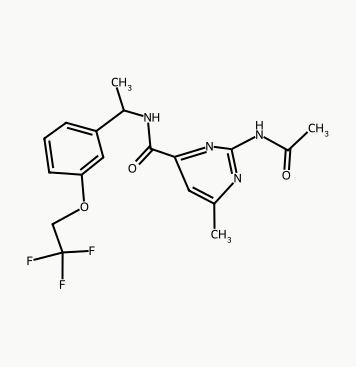 CC(=O)Nc1nc(C)cc(C(=O)NC(C)c2cccc(OCC(F)(F)F)c2)n1